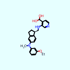 CCOc1cccc(N(C)c2ccc3c(c2)CC[C@H]3CNc2cnccc2C(O)O)c1